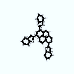 c1ccc2sc(-c3ccc4ccc5c(-c6cc7ccccc7s6)cc(-c6cc7ccccc7s6)c6ccc3c4c56)cc2c1